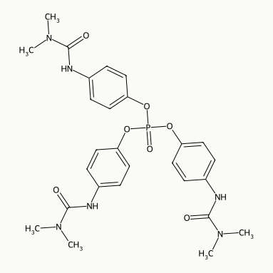 CN(C)C(=O)Nc1ccc(OP(=O)(Oc2ccc(NC(=O)N(C)C)cc2)Oc2ccc(NC(=O)N(C)C)cc2)cc1